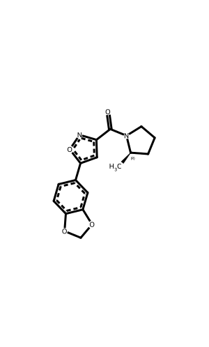 C[C@@H]1CCCN1C(=O)c1cc(-c2ccc3c(c2)OCO3)on1